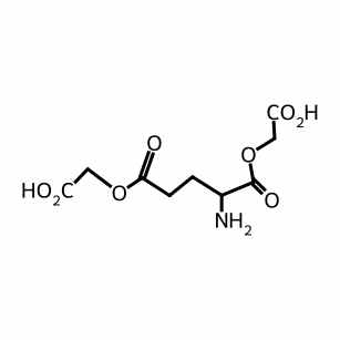 NC(CCC(=O)OCC(=O)O)C(=O)OCC(=O)O